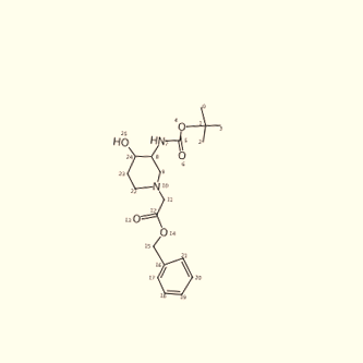 CC(C)(C)OC(=O)NC1CN(CC(=O)OCc2ccccc2)CCC1O